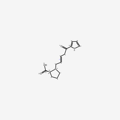 O=C(C/C=C/CN1CCC[C@H]1C(=O)O)c1cccs1